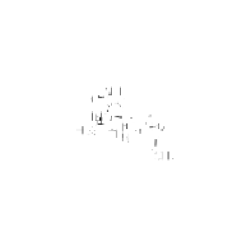 CC#CC(=O)N1CCC(Nc2ccc(C(N)=O)c3[nH]c(C)c(C)c23)C1